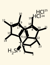 C[CH2][Ti](=[SiH2])([CH2]C)([C]1=C(C)C(C)=C(C)C1C)[C]1=C(C)C(C)=C(C)C1C.Cl.Cl